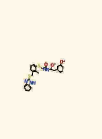 COc1cccc(CC(NC(=O)CSc2cccc(CSc3nc4ccccc4[nH]3)c2C)OC)c1